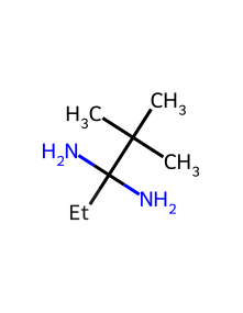 CCC(N)(N)C(C)(C)C